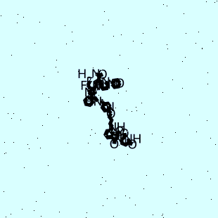 NC(=O)c1cn(-c2cn(C3(CNCc4ccc(OCCCNc5cccc6c5C(=O)N(C5CCC(=O)NC5=O)C6=O)nc4)CCCCC3)nc2C(F)F)[n+]2ccc(N3CCOCC3)nc12